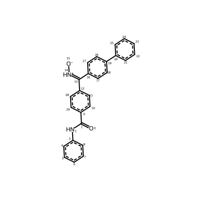 O=C(Nc1ccccc1)c1ccc(C(=[NH+][O-])c2ccc(-c3ccccc3)cc2)cc1